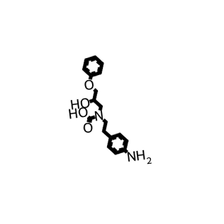 Nc1ccc(CCN(CC(O)COc2ccccc2)C(=O)O)cc1